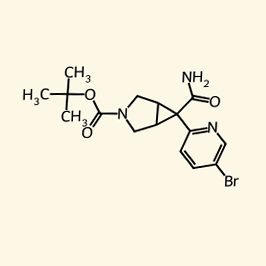 CC(C)(C)OC(=O)N1CC2C(C1)C2(C(N)=O)c1ccc(Br)cn1